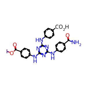 NC(=O)c1ccc(Nc2nc(Nc3ccc(C(=O)O)cc3)nc(Nc3ccc(C(=O)OI)cc3)n2)cc1